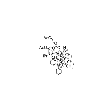 B[C@@H]1O[C@H](CO[Si](C[Si](C)(C)C)(OC(c2ccccc2)c2ccccc2)O[Si](C)(C)C)C(OP(C)N(C(C)C)C(C)C)[C@@H]1OC(OCCOC(C)=O)OCCOC(C)=O